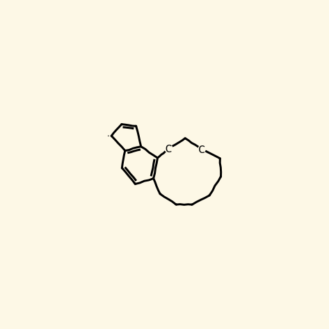 [CH]1C=Cc2c1ccc1c2CCCCCCCCC1